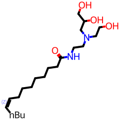 CCCC/C=C\CCCCCCCC(=O)NCCN(CCO)CC(O)CO